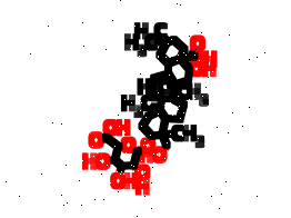 CC1(C)CCC2(C(=O)O)C(O)CC3(C)C(=CCC4C5(C)CCC(OC6OC(C(=O)O)C(O)C(O)C6O)C(C)(CO)C5CCC43C)C2C1